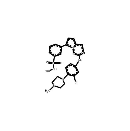 CN1CCN(c2ccc(Nc3ncc4ccc(-c5cccc(S(=O)(=O)NC(C)(C)C)c5)n4n3)cc2Cl)CC1